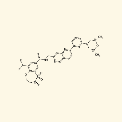 C[C@@H]1CN(c2cccc(-c3ccc4cnc(CNC(=O)c5cc(C(F)F)c6c(c5)S(=O)(=O)[C@@H](F)CCO6)cc4n3)n2)C[C@H](C)O1